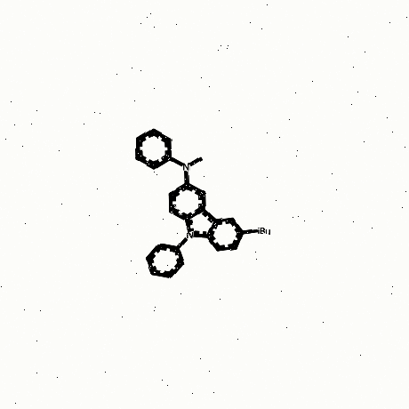 CCC(C)c1ccc2c(c1)c1cc(N(C)c3ccccc3)ccc1n2-c1ccccc1